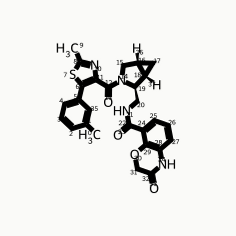 Cc1cccc(-c2sc(C)nc2C(=O)N2C[C@@H]3C[C@@H]3[C@H]2CNC(=O)c2cccc3c2OCC(=O)N3)c1